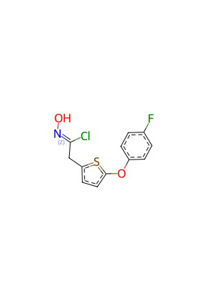 O/N=C(\Cl)Cc1ccc(Oc2ccc(F)cc2)s1